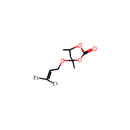 CCC(=CCOC1(C)OC(=O)OC1C)CC